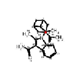 CC(=O)N1CC2CC(C1)C2C(C)n1c(C)c(C(N)=O)c2ccccc21